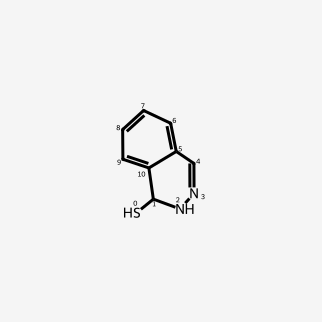 SC1NN=Cc2ccccc21